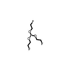 FCCOP(OCCF)OCCF